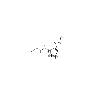 CCCCn1nncc1CCC